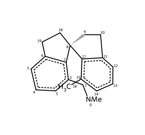 CNCc1cccc2c1[C@@]1(CCc3cccc(C)c31)CC2